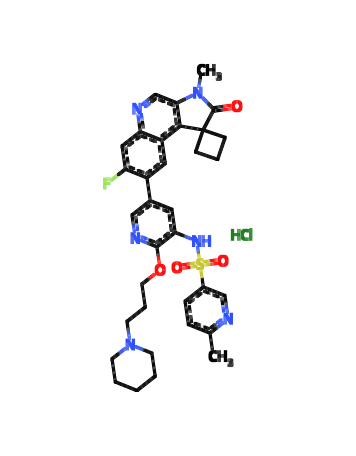 Cc1ccc(S(=O)(=O)Nc2cc(-c3cc4c5c(cnc4cc3F)N(C)C(=O)C53CCC3)cnc2OCCCN2CCCCC2)cn1.Cl